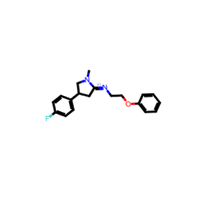 CN1CC(c2ccc(F)cc2)C/C1=N\CCOc1ccccc1